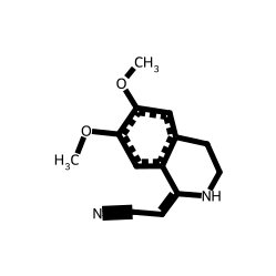 COc1cc2c(cc1OC)/C(=C\C#N)NCC2